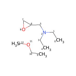 CCN(CC)CC1CO1.CCO[SiH3]